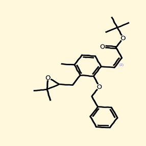 Cc1ccc(/C=C\C(=O)OC(C)(C)C)c(OCc2ccccc2)c1CC1OC1(C)C